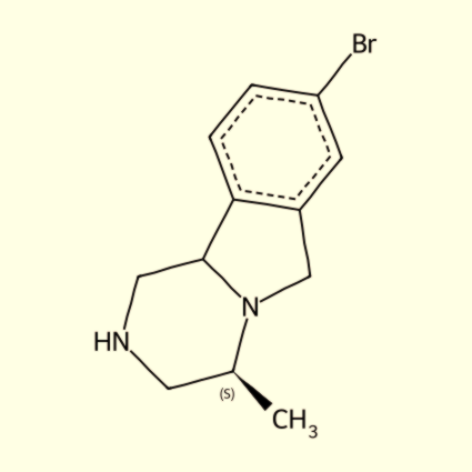 C[C@H]1CNCC2c3ccc(Br)cc3CN21